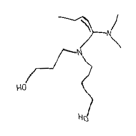 CC=C(N(C)C)N(CCCO)CCCO